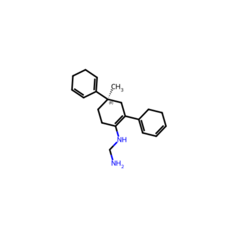 C[C@@]1(C2=CCCC=C2)CCC(NCN)=C(C2=CC=CCC2)C1